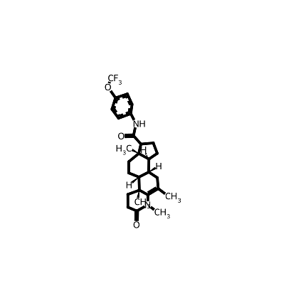 CC1=C2N(C)C(=O)CC[C@]2(C)[C@@H]2CC[C@]3(C)C(C(=O)Nc4ccc(OC(F)(F)F)cc4)CC[C@H]3[C@@H]2C1